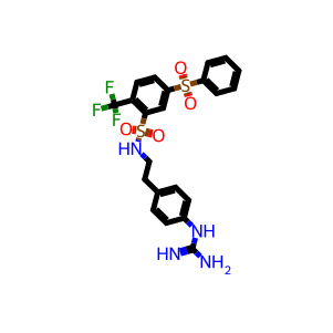 N=C(N)Nc1ccc(CCNS(=O)(=O)c2cc(S(=O)(=O)c3ccccc3)ccc2C(F)(F)F)cc1